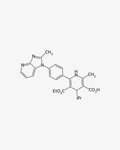 CCOC(=O)C1=C(c2ccc(-n3c(C)nc4ncccc43)cc2)NC(C)=C(C(=O)O)C1C(C)C